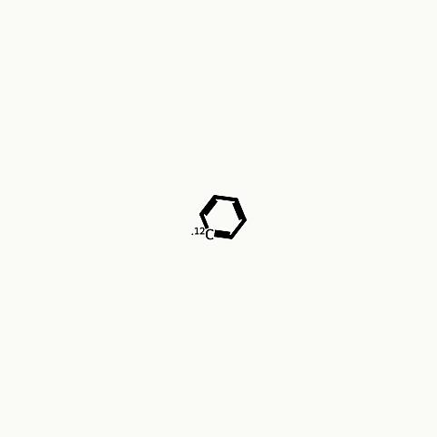 c1cc[12c]cc1